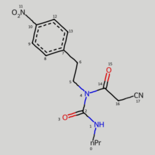 CCCNC(=O)N(CCc1ccc([N+](=O)[O-])cc1)C(=O)CC#N